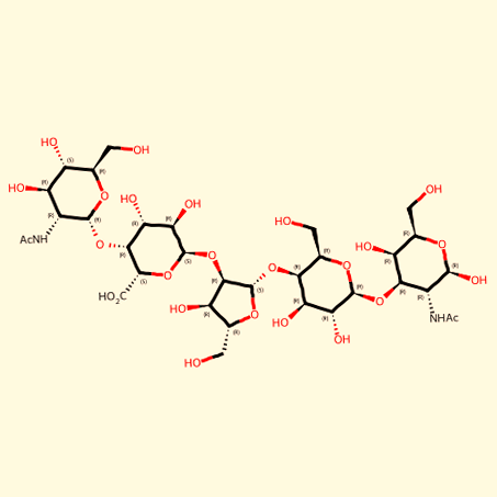 CC(=O)N[C@@H]1[C@@H](O[C@@H]2O[C@H](CO)[C@H](O[C@@H]3O[C@H](CO)[C@@H](O)[C@H]3O[C@H]3O[C@H](C(=O)O)[C@H](O[C@H]4O[C@H](CO)[C@@H](O)[C@H](O)[C@H]4NC(C)=O)[C@H](O)[C@H]3O)[C@H](O)[C@H]2O)[C@@H](O)[C@@H](CO)O[C@H]1O